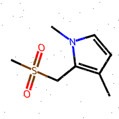 Cc1ccn(C)c1CS(C)(=O)=O